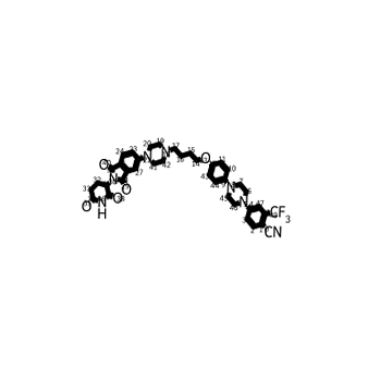 N#Cc1ccc(N2CCN(c3ccc(OCCCCN4CCN(c5ccc6c(c5)C(=O)N(C5CCC(=O)NC5=O)C6=O)CC4)cc3)CC2)cc1C(F)(F)F